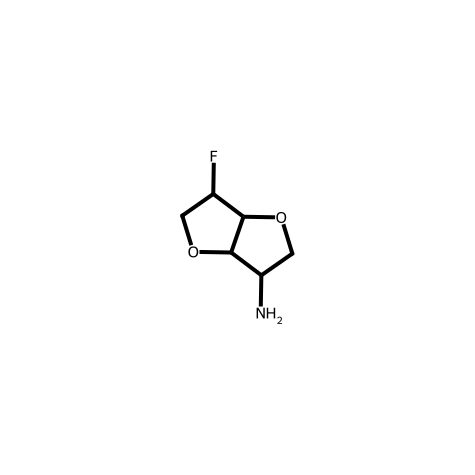 NC1COC2C(F)COC12